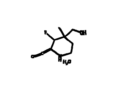 CC1(CO)CCNC(=C=O)C1F.O